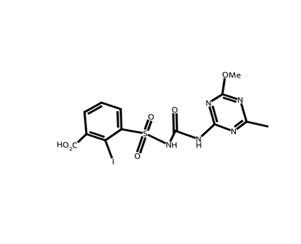 COc1nc(C)nc(NC(=O)NS(=O)(=O)c2cccc(C(=O)O)c2I)n1